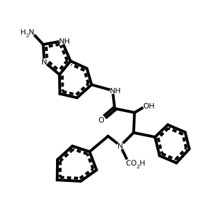 Nc1nc2ccc(NC(=O)C(O)C(c3ccccc3)N(Cc3ccccc3)C(=O)O)cc2[nH]1